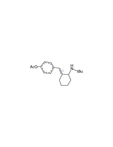 CC(=O)Oc1ccc(/C=C2\CCCCC2NC(C)(C)C)cc1